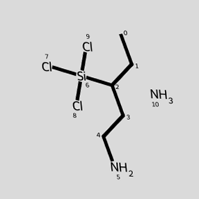 CCC(CCN)[Si](Cl)(Cl)Cl.N